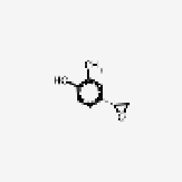 Cc1cc([C@@H]2CO2)ccc1O